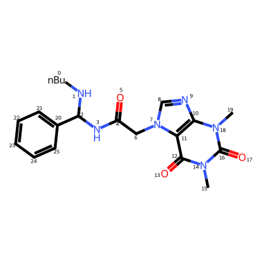 CCCCNC(NC(=O)Cn1cnc2c1c(=O)n(C)c(=O)n2C)c1ccccc1